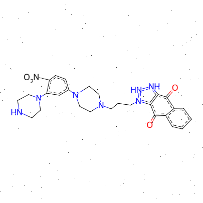 O=c1c2[nH][nH]n(CCCN3CCN(c4ccc([N+](=O)[O-])c(N5CCNCC5)c4)CC3)c=2c(=O)c2ccccc12